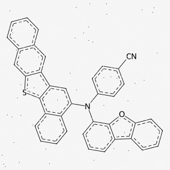 N#Cc1ccc(N(c2cc3c4cc5ccccc5cc4sc3c3ccccc23)c2cccc3c2oc2ccccc23)cc1